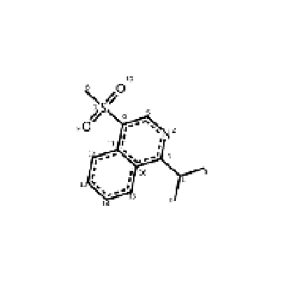 CC(C)c1ncc(S(C)(=O)=O)c2ccccc12